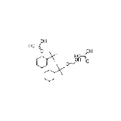 CC(C)(C)C1CCCCC1.CC(C)(C)C1CCCCC1.O=C(O)O.O=C(O)O.O=CO